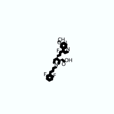 COc1ccc2nccc(C(F)CC[C@@H]3CCN(CCCCc4c(F)cccc4F)C[C@@H]3CC(=O)O)c2c1